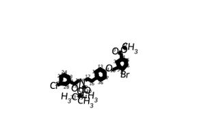 COC(=O)c1ccc(Br)c(COc2ccc(CCN(C[C@@H](O)c3cccc(Cl)c3)C(=O)OC(C)(C)C)cc2)c1